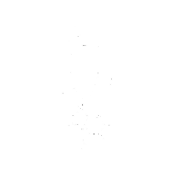 CC(C)(C)C(=O)OCOC1C(O)[C@H](n2cnc3c(N)ncnc32)O[C@@H]1CO